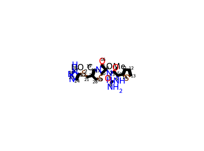 CO[C@]1(NC(=O)C(NC(N)=O)c2cccs2)C(=O)N2C(C(=O)O)=C(CSc3cnn[nH]3)CSC21